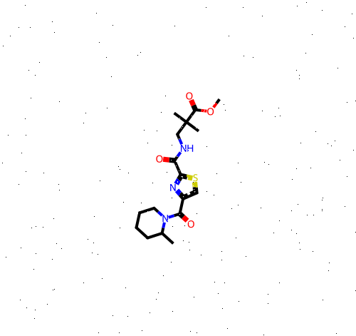 COC(=O)C(C)(C)CNC(=O)c1nc(C(=O)N2CCCCC2C)cs1